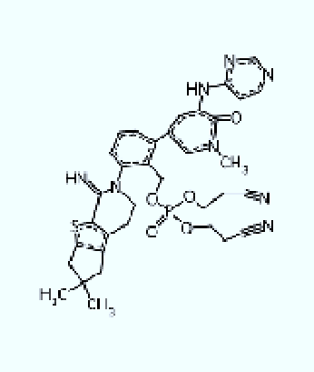 Cn1cc(-c2cccc(N3CCc4c(sc5c4CC(C)(C)C5)C3=N)c2COP(=O)(OCCC#N)OCCC#N)cc(Nc2ccncn2)c1=O